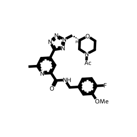 COc1cc(CNC(=O)c2cc(-c3nnn(C[C@H]4CN(C(C)=O)CCO4)n3)cc(C)n2)ccc1F